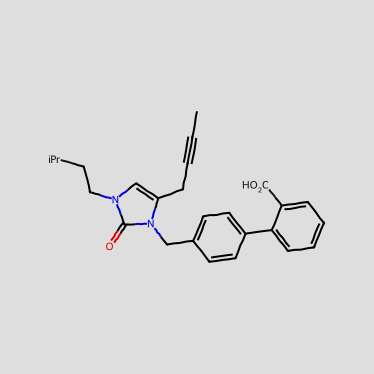 CC#CCc1cn(CCC(C)C)c(=O)n1Cc1ccc(-c2ccccc2C(=O)O)cc1